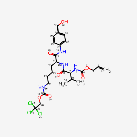 C=CCOC(=O)N[C@H](C(=O)N[C@@H](CCCCNC(=O)OCC(Cl)(Cl)Cl)C(=O)Nc1ccc(CO)cc1)C(C)C